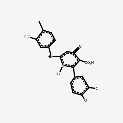 CCn1c(Nc2ccc(C)c(C(F)(F)F)c2)cc(=O)c(C(=O)O)c1-c1ccc(Cl)c(Cl)c1